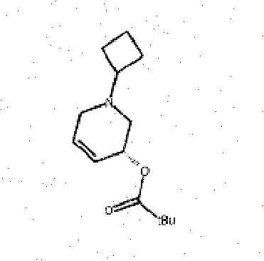 CC(C)(C)C(=O)O[C@@H]1C=CCN(C2CCC2)C1